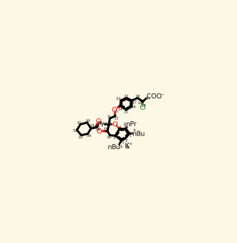 CCCCc1cc(CCCC)c2c(c1CCC)OC(CCOc1ccc(CC(Cl)C(=O)[O-])cc1)(C(C)C)C(OC(=O)C1CCCCC1)C2.[K+]